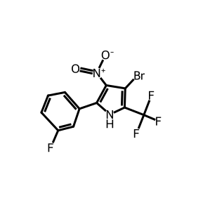 O=[N+]([O-])c1c(-c2cccc(F)c2)[nH]c(C(F)(F)F)c1Br